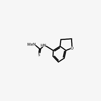 CNC(=S)Nc1cccc2c1CCO2